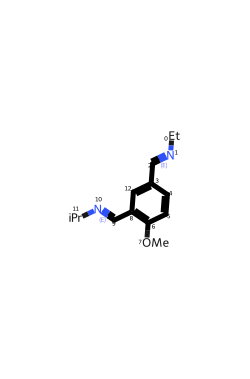 CC/N=C/c1ccc(OC)c(/C=N/C(C)C)c1